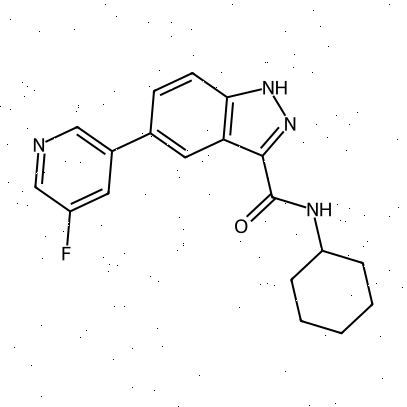 O=C(NC1CCCCC1)c1n[nH]c2ccc(-c3cncc(F)c3)cc12